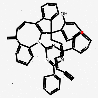 C#C/C=C\C=C/CC1(c2ccccc2O)C2=C(/C=C\C(=C)c3ccccc3N2c2nc(-c3ccccc3)nc(-c3ccccc3)n2)c2ccccc21